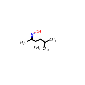 CC(CCC(C)C)=NO.[SiH4]